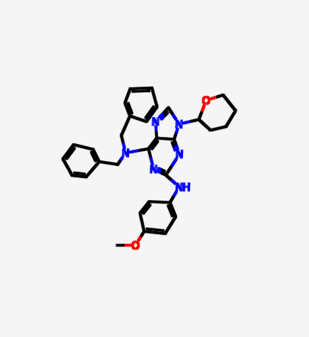 COc1ccc(Nc2nc(N(Cc3ccccc3)Cc3ccccc3)c3ncn(C4CCCCO4)c3n2)cc1